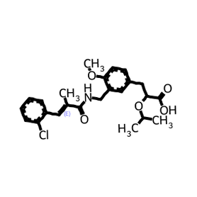 COc1ccc(CC(OC(C)C)C(=O)O)cc1CNC(=O)/C(C)=C/c1ccccc1Cl